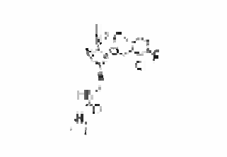 CCN(CC)CC(=O)NCC#Cc1cnc(N)c(OC(C)c2c(Cl)ccc(F)c2Cl)c1